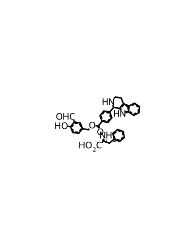 N[C@@H](Cc1ccccc1)C(=O)O.O=Cc1cc(COC(=O)c2ccc(C3NCCc4c3[nH]c3ccccc43)cc2)ccc1O